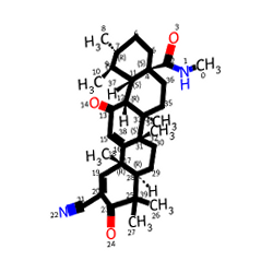 CNC(=O)[C@]12CC[C@@H](C)[C@H](C)[C@H]1[C@H]1C(=O)C=C3[C@@]4(C)C=C(C#N)C(=O)C(C)(C)[C@@H]4CC[C@@]3(C)[C@]1(C)CC2